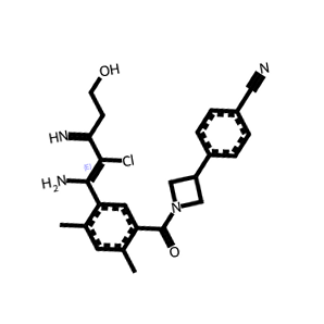 Cc1cc(C)c(/C(N)=C(\Cl)C(=N)CCO)cc1C(=O)N1CC(c2ccc(C#N)cc2)C1